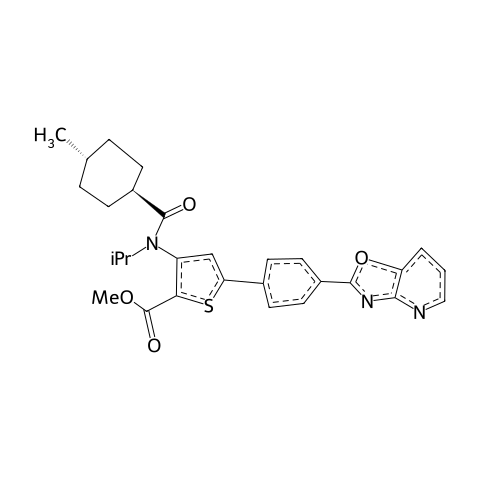 COC(=O)c1sc(-c2ccc(-c3nc4ncccc4o3)cc2)cc1N(C(=O)[C@H]1CC[C@H](C)CC1)C(C)C